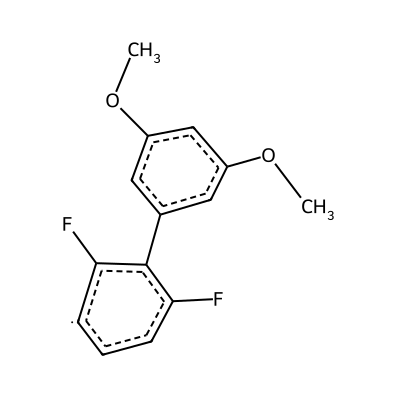 COc1cc(OC)cc(-c2c(F)[c]ccc2F)c1